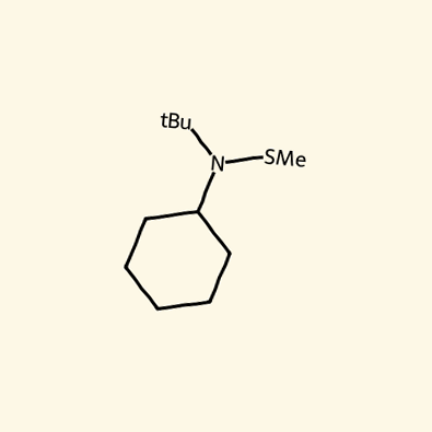 CSN(C1CCCCC1)C(C)(C)C